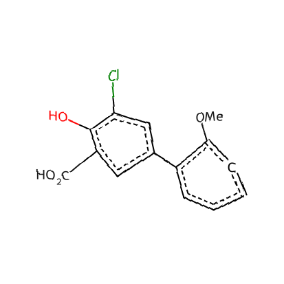 COc1ccccc1-c1cc(Cl)c(O)c(C(=O)O)c1